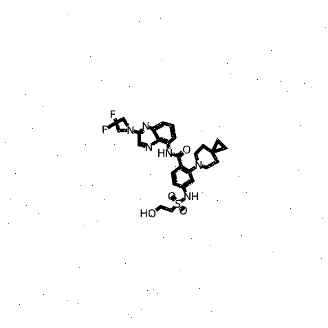 O=C(Nc1cccc2nc(N3CC(F)(F)C3)cnc12)c1ccc(NS(=O)(=O)CCO)cc1N1CCC2(CC1)CC2